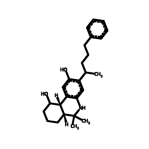 CC(CCCc1ccccc1)c1cc2c(cc1O)[C@H]1C(O)CCC[C@H]1C(C)(C)N2